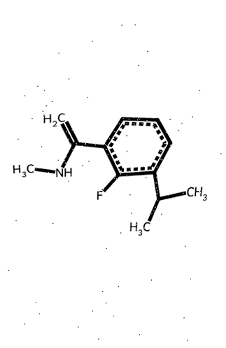 C=C(NC)c1cccc(C(C)C)c1F